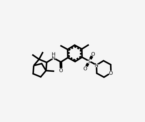 Cc1cc(C)c(S(=O)(=O)N2CCOCC2)cc1C(=O)NC1C2(C)CCC(C2)C1(C)C